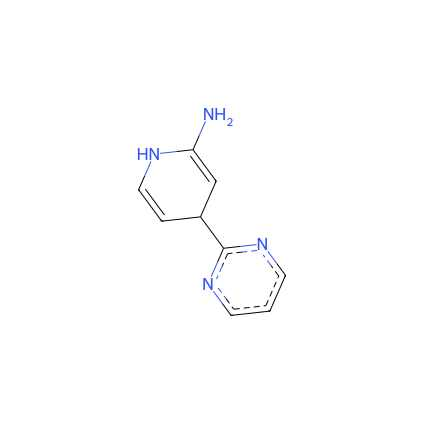 NC1=CC(c2ncccn2)C=CN1